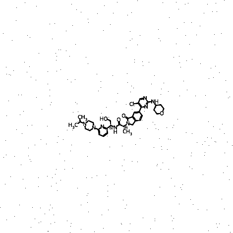 CC(C)N1CCN(c2cccc([C@@H](CO)NC(=O)[C@@H](C)N3Cc4ccc(-c5nc(NC6CCOCC6)ncc5Cl)cc4C3=O)n2)CC1